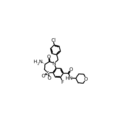 N[C@H]1CS(=O)(=O)c2cc(F)c(C(=O)NC3CCOCC3)cc2N(Cc2ccc(Cl)cc2)C1=O